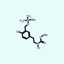 CCN(CCc1ccc(Cl)c(CO[Si](C)(C)C(C)(C)C)c1)C(=O)OC(C)(C)C